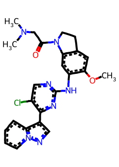 COc1cc2c(cc1Nc1ncc(Cl)c(-c3cnn4ccccc34)n1)N(C(=O)CN(C)C)CC2